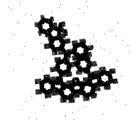 CC1(C)c2ccccc2-c2ccc(N(c3ccccc3)c3ccc(-n4c5ccccc5c5ccc6c7ccc8c9ccccc9n(-c9ccccc9)c8c7oc6c54)cc3)cc21